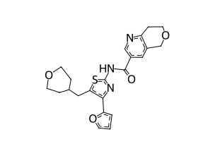 O=C(Nc1nc(-c2ccco2)c(CC2CCOCC2)s1)c1cnc2c(c1)COCC2